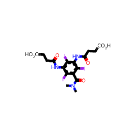 CN(C)C(=O)c1c(I)c(NC(=O)CCC(=O)O)c(I)c(NC(=O)CCC(=O)O)c1I